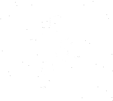 COc1cc(-c2cccc(CN)c2)cc2c(COc3c(C)cccc3CC(=O)O)coc12